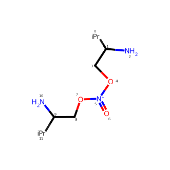 CC(C)C(N)CO[N+](=O)OCC(N)C(C)C